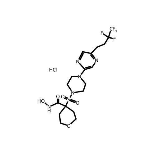 Cl.O=C(NO)C1(S(=O)(=O)N2CCN(c3cnc(CCC(F)(F)C(F)(F)F)cn3)CC2)CCOCC1